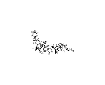 CN1CCN(C(C)(C)C=C(C#N)C(=O)N2CCC[C@H]2Cn2c(=O)n(-c3ccc(Oc4ccccc4)cc3)c3c(N)ncnc32)CC1